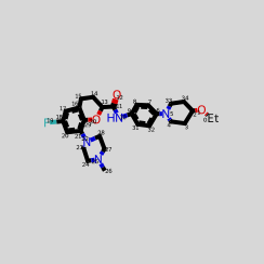 CCOC1CCN(c2ccc(NC(=O)C3CCc4cc(F)cc(N5CCN(C)CC5)c4O3)cc2)CC1